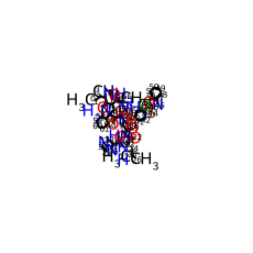 CC[C@H](C)[C@H](N)C(=O)C(C[C@@](N)(C(=O)C(=O)N(CC(=O)NC(=O)[C@H](CC(C)C)NC(=O)c1cnccn1)S(=O)(=O)c1ccc(Sc2nc3ccccc3o2)c(Cl)c1)C1CCCCC1)C(=O)[C@H](C)N